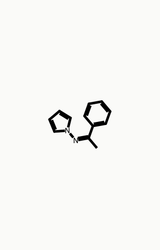 C/C(=N/n1cccc1)c1ccccc1